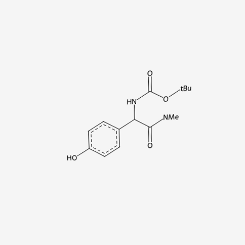 CNC(=O)C(NC(=O)OC(C)(C)C)c1ccc(O)cc1